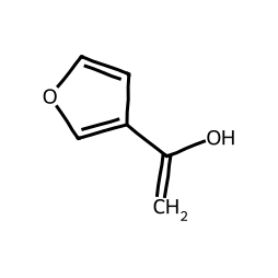 C=C(O)c1ccoc1